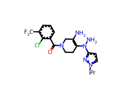 CC(C)n1ccc(N(N)C2=C(N)CN(C(=O)c3cccc(C(F)(F)F)c3Cl)CC2)n1